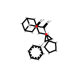 O=C([C@H]1C[C@@H]1c1ccccc1)N1CC2CC(C1)N2C(=O)CSC1CCCC1